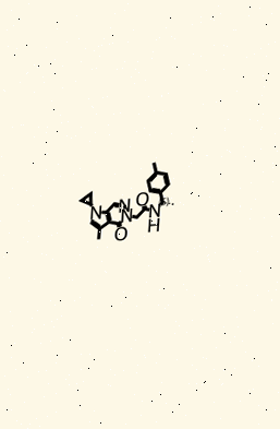 Cc1ccc([C@H](C)NC(=O)Cn2ncc3c(c(C)cn3C3CC3)c2=O)cc1